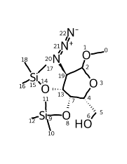 COC1O[C@H](CO)[C@H](O[Si](C)(C)C)[C@H](O[Si](C)(C)C)[C@H]1N=[N+]=[N-]